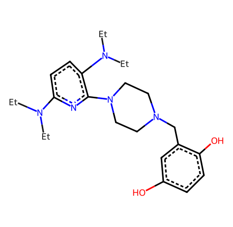 CCN(CC)c1ccc(N(CC)CC)c(N2CCN(Cc3cc(O)ccc3O)CC2)n1